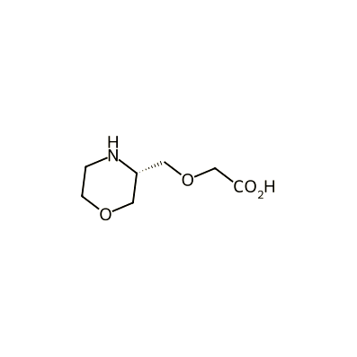 O=C(O)COC[C@@H]1COCCN1